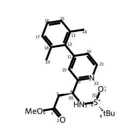 COC(=O)C[C@H](N[S@+]([O-])C(C)(C)C)c1cc(-c2c(C)cccc2C)ccn1